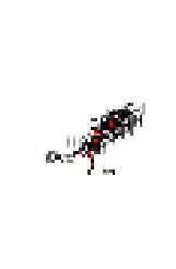 CCCCCCCCCCCCC/C=C/[C@@H](O)[C@H](CO[C@@H]1OC(CO)[C@@H](O[C@@H]2OC(CO)[C@H](O)[C@H](O[C@]3(OC=O)C[C@@H](O)[C@@H](C)C([C@H](O)[C@H](O)CO)O3)C2O)[C@H](O)C1O)NC(=O)CCCCCCCCCCCCCCC